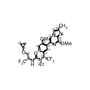 CCN(C(=O)N[C@@H](COC1CC1)C(F)(F)F)[C@@H](c1cc(-c2cn3cc(C)nc3c(OC)n2)c(OC)cn1)C(F)(F)F